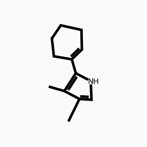 Cc1c[nH]c(C2=CCCCC2)c1C